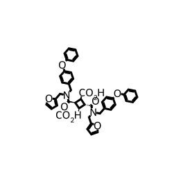 O=C(O)[C@H]1[C@H](C(=O)N(Cc2ccc(Oc3ccccc3)cc2)Cc2ccco2)[C@H](C(=O)O)[C@H]1C(=O)N(Cc1ccc(Oc2ccccc2)cc1)Cc1ccco1